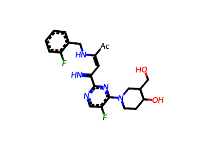 CC(=O)/C(=C/C(=N)c1ncc(F)c(N2CCC(O)C(CO)C2)n1)NCc1ccccc1F